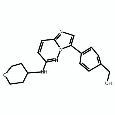 OCc1ccc(-c2cnc3ccc(NC4CCOCC4)nn23)cc1